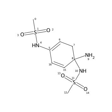 CS(=O)(=O)NC1=CCC(N)(NS(C)(=O)=O)C=C1